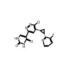 O=c1[nH]cc(-c2cc([C@H]3C[C@@H]3c3ncccc3F)c(Cl)nn2)c(=O)[nH]1